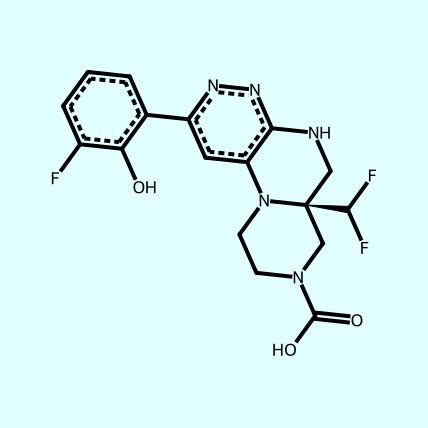 O=C(O)N1CCN2c3cc(-c4cccc(F)c4O)nnc3NC[C@]2(C(F)F)C1